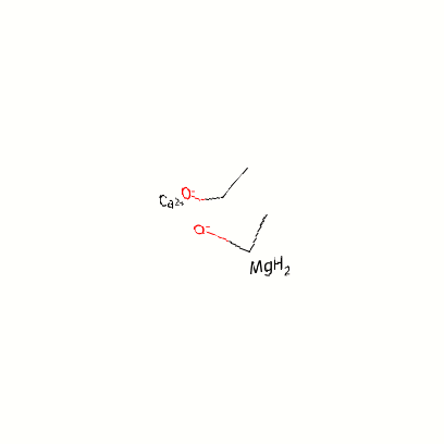 CC[O-].CC[O-].[Ca+2].[MgH2]